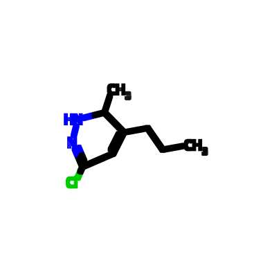 CCCC1=CC(Cl)=NNC1C